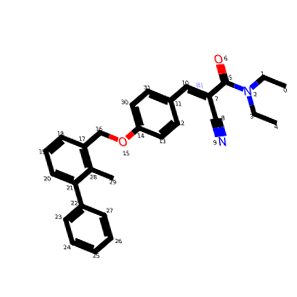 CCN(CC)C(=O)/C(C#N)=C/c1ccc(OCc2cccc(-c3ccccc3)c2C)cc1